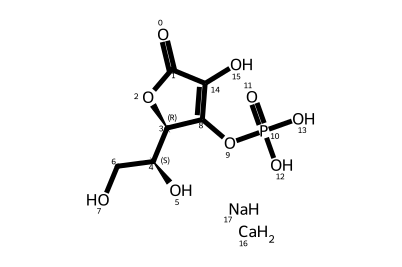 O=C1O[C@H]([C@@H](O)CO)C(OP(=O)(O)O)=C1O.[CaH2].[NaH]